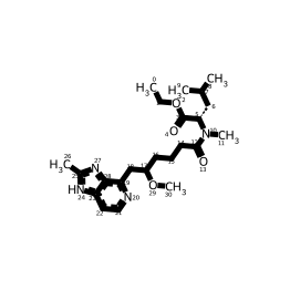 CCOC(=O)[C@H](CC(C)C)N(C)C(=O)CCCC(Cc1nccc2[nH]c(C)nc12)OC